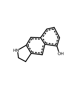 Oc1cccc2cc3c(cc12)CCN3